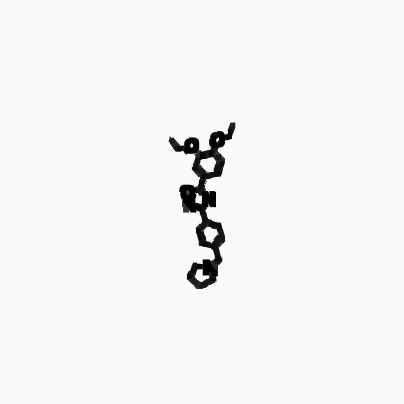 CCOc1ccc(-c2nc(-c3ccc(CN4CCCC4)cc3)no2)cc1OCC